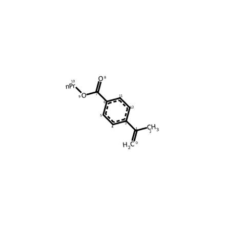 C=C(C)c1ccc(C(=O)OCCC)cc1